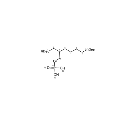 CCCCCCCCCCCCCCC(CCCCCCCCCCC)COP(=O)(O)O